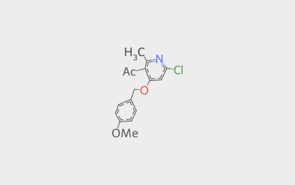 COc1ccc(COc2cc(Cl)nc(C)c2C(C)=O)cc1